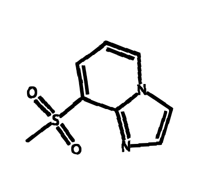 CS(=O)(=O)c1cccn2ccnc12